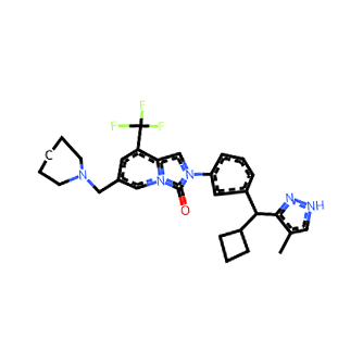 Cc1c[nH]nc1C(c1cccc(-n2cc3c(C(F)(F)F)cc(CN4CCCCC4)cn3c2=O)c1)C1CCC1